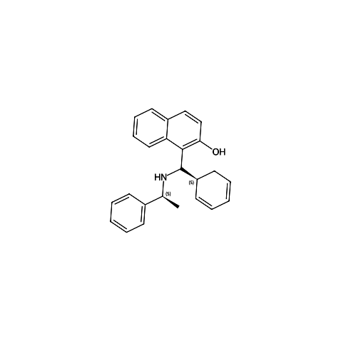 C[C@H](NC(c1c(O)ccc2ccccc12)[C@@H]1C=CC=CC1)c1ccccc1